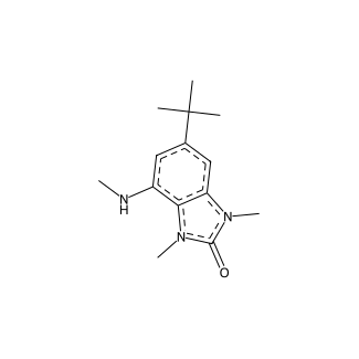 CNc1cc(C(C)(C)C)cc2c1n(C)c(=O)n2C